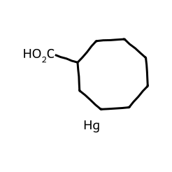 O=C(O)C1CCCCCCC1.[Hg]